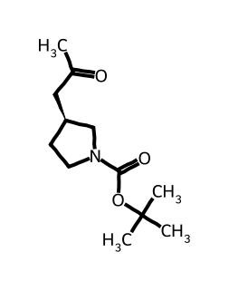 CC(=O)C[C@@H]1CCN(C(=O)OC(C)(C)C)C1